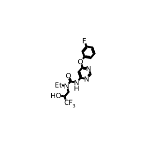 CCN(CC(O)C(F)(F)F)C(=O)Nc1cc(Oc2cccc(F)c2)ncn1